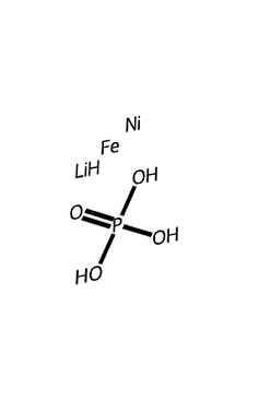 O=P(O)(O)O.[Fe].[LiH].[Ni]